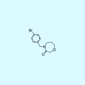 O=C1COCCCN1Cc1ccc(Br)cc1